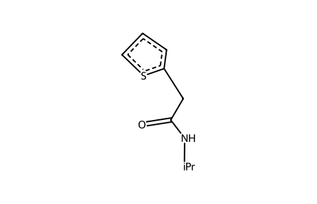 CC(C)NC(=O)Cc1cccs1